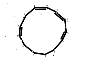 [C]1=CCC=CCCCCC=CC=C1